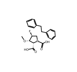 CO[C@H]1[C@@H](C(=O)O)N(C(=O)O)C[C@@H]1F.c1ccc(CCc2ccccc2)cc1